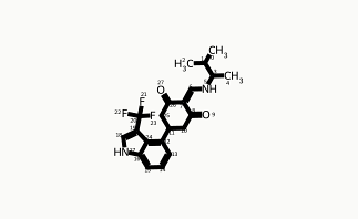 CC(C)C(C)NC=C1C(=O)CC(c2cccc3[nH]cc(C(F)(F)F)c23)CC1=O